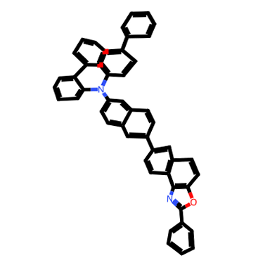 c1ccc(-c2ccc(N(c3ccc4cc(-c5ccc6c(ccc7oc(-c8ccccc8)nc76)c5)ccc4c3)c3ccccc3-c3ccccc3)cc2)cc1